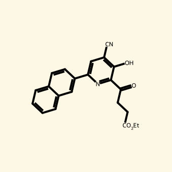 CCOC(=O)CCC(=O)c1nc(-c2ccc3ccccc3c2)cc(C#N)c1O